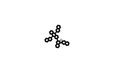 c1ccc2cc(-c3c4ccccc4c(-c4ccc5ccccc5c4)c4cc(-c5cc6ccccc6c6c5oc5cc7ccccc7cc56)ccc34)ccc2c1